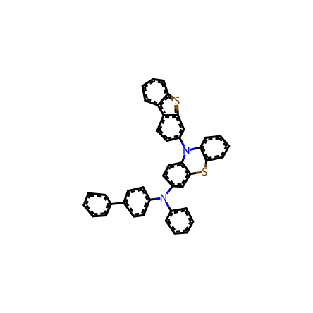 c1ccc(-c2ccc(N(c3ccccc3)c3ccc4c(c3)Sc3ccccc3N4c3ccc4c(c3)sc3ccccc34)cc2)cc1